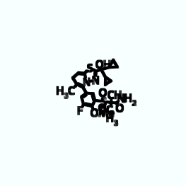 COc1c(F)cc(C2=C(C)CC=C3SC(C(O)(C4CC4)C4CC4)=NN32)cc1S(=O)(=O)C(C)(C)C(N)=O